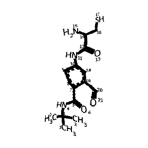 CC(C)(C)NC(=O)c1ccc(NC(=O)C(N)CS)cc1C=O